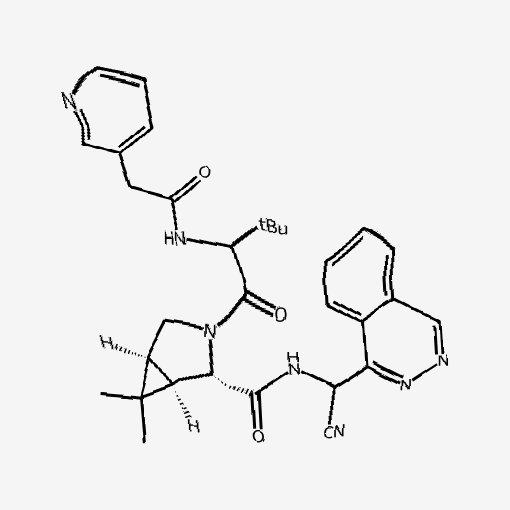 CC(C)(C)C(NC(=O)Cc1cccnc1)C(=O)N1C[C@H]2[C@@H]([C@H]1C(=O)NC(C#N)c1nncc3ccccc13)C2(C)C